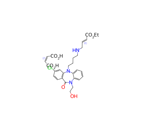 CCOC(=O)/C=C/CNCCCCN1c2cc(Cl)ccc2C(=O)N(CCO)c2ccccc21.O=C(O)/C=C\C(=O)O